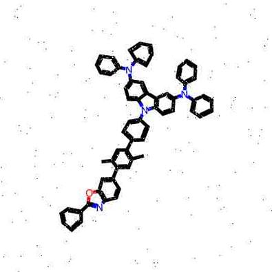 Cc1cc(-c2ccc3nc(-c4ccccc4)oc3c2)c(C)cc1-c1ccc(-n2c3ccc(N(c4ccccc4)c4ccccc4)cc3c3cc(N(c4ccccc4)c4ccccc4)ccc32)cc1